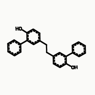 Oc1ccc(CCc2ccc(O)c(-c3ccccc3)c2)cc1-c1ccccc1